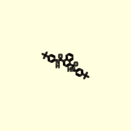 CC(C)(C)c1ccc(NC(=O)c2ccc(C(=O)Nc3ccc(C(C)(C)C)cc3)c3ccccc23)cc1